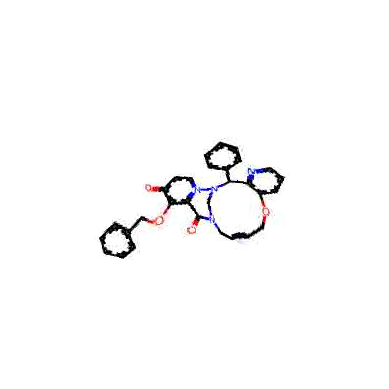 O=C1c2c(OCc3ccccc3)c(=O)ccn2N2CN1C/C=C\COc1cccnc1C2c1ccccc1